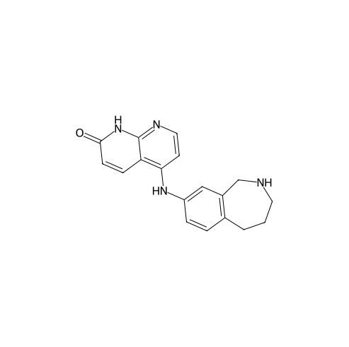 O=c1ccc2c(Nc3ccc4c(c3)CNCCC4)ccnc2[nH]1